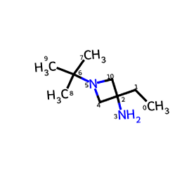 CCC1(N)CN(C(C)(C)C)C1